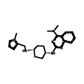 CN(C)c1nc(N[C@H]2CC[C@@H](NCc3cccn3C)CC2)nc2ccccc12